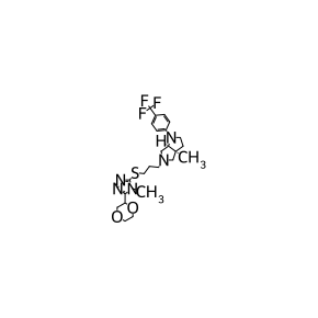 Cn1c(SCCCN2C[C@H]3N(c4ccc(C(F)(F)F)cc4)CC[C@@]3(C)C2)nnc1C1COCCO1